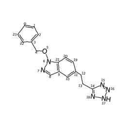 c1ccc(COn2ncc3cc(CCc4nn[nH]n4)ccc32)cc1